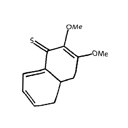 COC1=C(OC)C(=S)C2=CC=CCC2C1